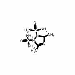 NC1=NC(N)N(P(N)(N)=O)N1P(N)(N)=O